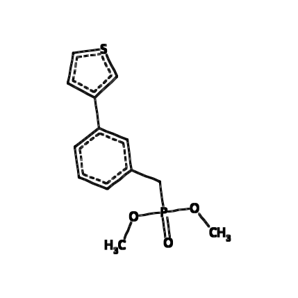 COP(=O)(Cc1cccc(-c2ccsc2)c1)OC